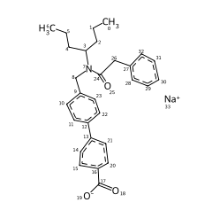 CCCC(CCC)N(Cc1ccc(-c2ccc(C(=O)[O-])cc2)cc1)C(=O)Cc1ccccc1.[Na+]